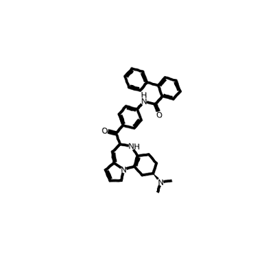 CN(C)[C@@H]1CCC2=C(C1)N1CC=CC1=CC(C(=O)c1ccc(NC(=O)c3ccccc3-c3ccccc3)cc1)N2